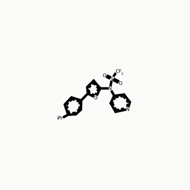 CC(C)c1ccc(-c2ccc(N(c3ccncc3)S(=O)(=O)C(F)(F)F)o2)cc1